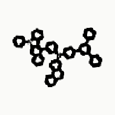 c1ccc(-c2cc(-c3ccccc3)cc(-c3ccc(N(c4cccc(-c5c6ccccc6cc6c5c5ccccc5n6-c5ccccc5)c4)c4ccc5c(ccc6ccccc65)c4)cc3)c2)cc1